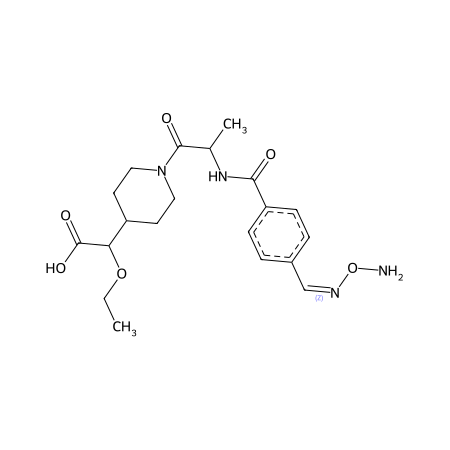 CCOC(C(=O)O)C1CCN(C(=O)C(C)NC(=O)c2ccc(/C=N\ON)cc2)CC1